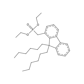 CCCCCCC1(CCCCCC)c2ccccc2-c2cccc(CP(=O)(OCC)OCC)c21